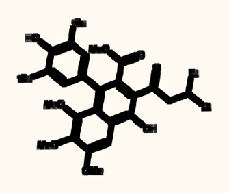 CCC(CC)CC(=O)c1c(C(=O)OC)c(-c2cc(C(C)(C)C)c(O)c(C(C)(C)C)c2)c2c(OC)c(OC)c(OC)cc2c1O